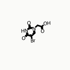 O=C(O)Cn1cc(Br)c(=O)[nH]c1=O